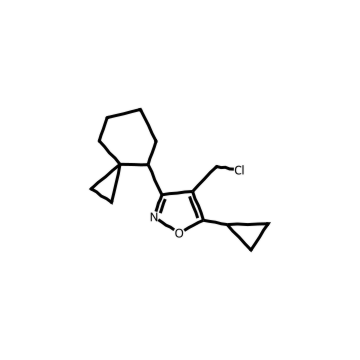 ClCc1c(C2CCCCC23CC3)noc1C1CC1